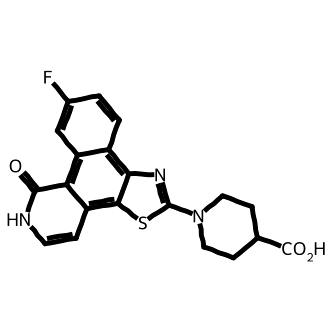 O=C(O)C1CCN(c2nc3c4ccc(F)cc4c4c(=O)[nH]ccc4c3s2)CC1